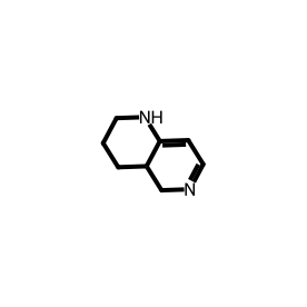 C1=NCC2CCCNC2=C1